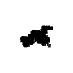 C=C(C1=C(C(=O)OCc2ccc(OC)cc2)N2C(=O)[C@@H](NC(=O)/C(=N\OC)c3csc(NC(c4ccccc4)(c4ccccc4)c4ccccc4)n3)[C@@H]2SC1)c1cncnc1